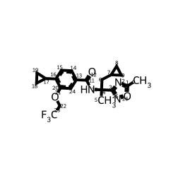 Cc1nc(C(C)(CC2CC2)NC(=O)c2ccc(C3CC3)c(OCC(F)(F)F)c2)no1